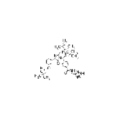 CCC(CCC1N=C(c2cccc(OCCC(C)(C)C)c2)C(=O)N1C(CCC(C)(C)C)c1ccc(C(=O)NCc2nn[nH]n2)cc1)C(C)C